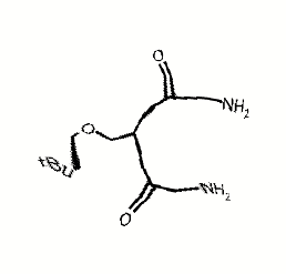 CC(C)(C)OC(C(N)=O)C(N)=O